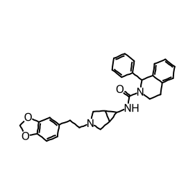 O=C(NC1C2CN(CCc3ccc4c(c3)OCO4)CC21)N1CCc2ccccc2C1c1ccccc1